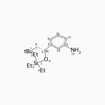 CC[Si](CC)(CC)O[C@H]([CH]C(C)(C)C)c1cccc(N)c1